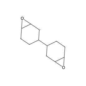 [CH]1C(C2CCC3OC3C2)CCC2OC12